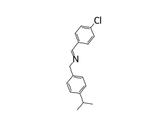 CC(C)c1ccc(C/N=C/c2ccc(Cl)cc2)cc1